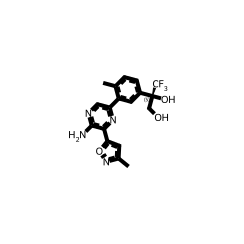 Cc1cc(-c2nc(-c3cc([C@](O)(CO)C(F)(F)F)ccc3C)cnc2N)on1